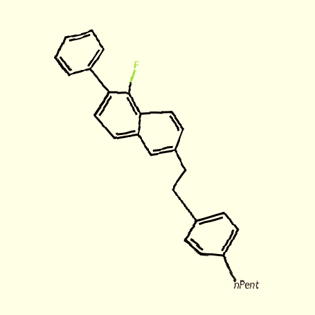 CCCCCc1ccc(CCc2ccc3c(F)c(-c4ccccc4)ccc3c2)cc1